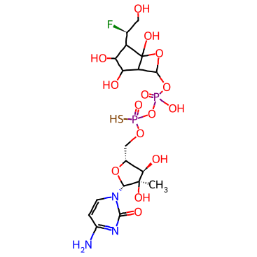 C[C@@]1(O)[C@H](O)[C@@H](COP(=O)(S)OP(=O)(O)OC2OC3(O)C2C(O)C(O)C3[C@@H](F)CO)O[C@H]1n1ccc(N)nc1=O